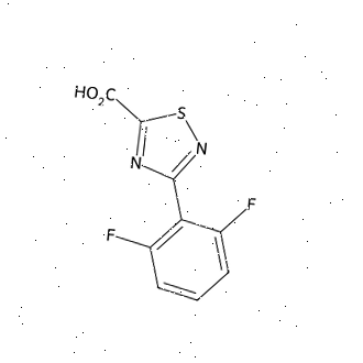 O=C(O)c1nc(-c2c(F)cccc2F)ns1